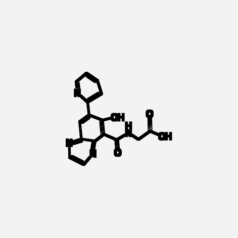 O=C(O)CNC(=O)c1c(O)c(-c2ccccn2)cc2nccnc12